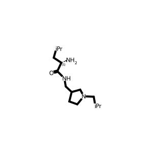 CC(C)C[C@H](N)C(=O)NCC1CCN(CC(C)C)C1